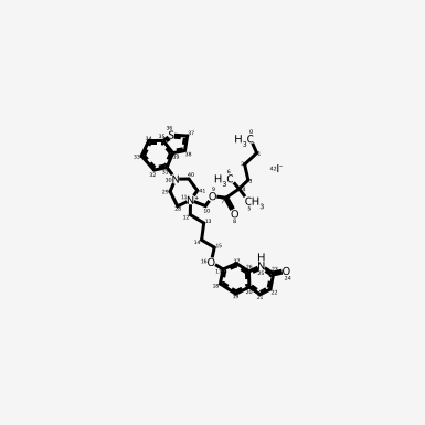 CCCCC(C)(C)C(=O)OC[N+]1(CCCCOc2ccc3ccc(=O)[nH]c3c2)CCN(c2cccc3sccc23)CC1.[I-]